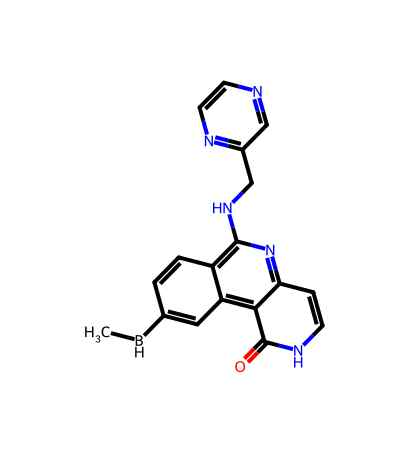 CBc1ccc2c(NCc3cnccn3)nc3cc[nH]c(=O)c3c2c1